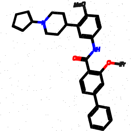 COc1ccc(NC(=O)c2ccc(-c3ccccc3)cc2OC(C)C)cc1C1CCN(C2CCCC2)CC1